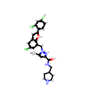 Cc1cc(C(=O)NCC2CCNCC2)nn1Cc1cc(Cl)cc2cc(-c3ccc(Cl)cc3Cl)oc12